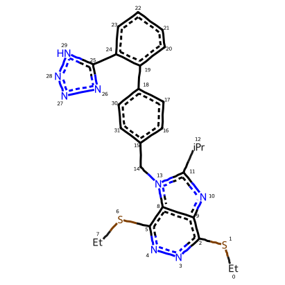 CCSc1nnc(SCC)c2c1nc(C(C)C)n2Cc1ccc(-c2ccccc2-c2nnn[nH]2)cc1